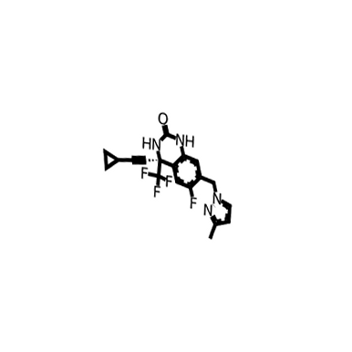 Cc1ccn(Cc2cc3c(cc2F)[C@@](C#CC2CC2)(C(F)(F)F)NC(=O)N3)n1